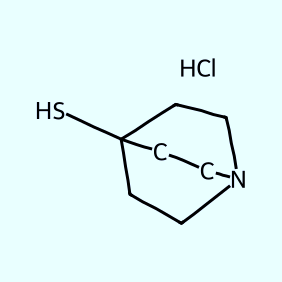 Cl.SC12CCN(CC1)CC2